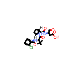 CC(C)(C)[C@H](NC(=O)c1ccccc1Cl)C(=O)N1[C@@H]2CC[C@@H](C2)[C@H]1C(=O)NC(C=O)CC(=O)O